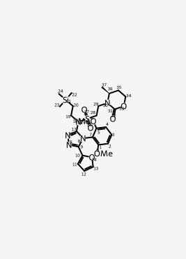 COc1cccc(OC)c1-n1c(-c2ccco2)nnc1N(CC[Si](C)(C)C)S(=O)(=O)CCN1C(=O)OCC[C@@H]1C